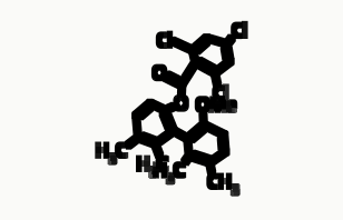 COc1ccc(C)c(C)c1-c1c(OC(=O)c2c(Cl)cc(Cl)cc2Cl)ccc(C)c1C